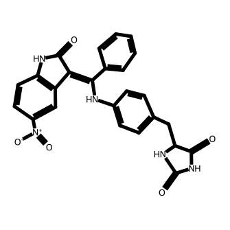 O=C1NC(=O)C(Cc2ccc(NC(=C3C(=O)Nc4ccc([N+](=O)[O-])cc43)c3ccccc3)cc2)N1